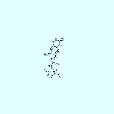 CCC(=O)O[C@H](OC(=O)NC[C@H](Sc1cccc(Cl)c1)C(=O)O)C(C)C